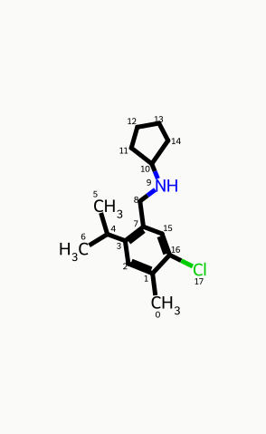 Cc1cc(C(C)C)c(CNC2CCCC2)cc1Cl